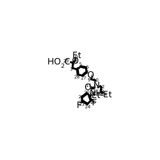 CCOC(Cc1ccc(OCCN(CC(CC)CC)C(=O)Nc2ccc(F)cc2F)cc1)C(=O)O